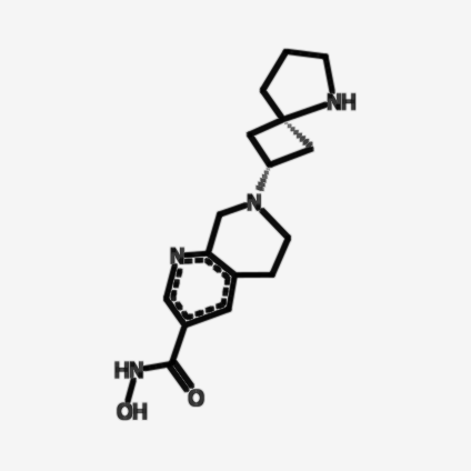 O=C(NO)c1cnc2c(c1)CCN([C@H]1C[C@@]3(CCCN3)C1)C2